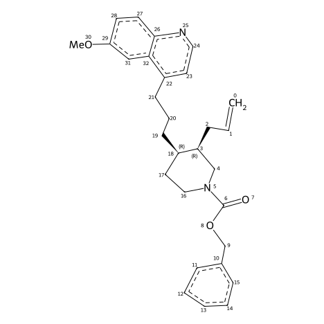 C=CC[C@H]1CN(C(=O)OCc2ccccc2)CC[C@H]1CCCc1ccnc2ccc(OC)cc12